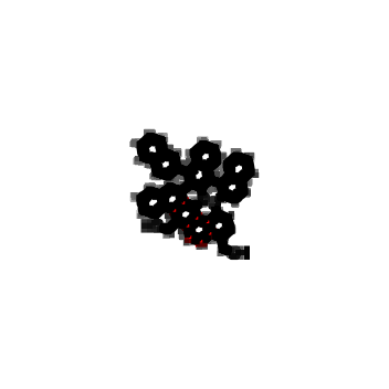 OCc1ccc(Oc2ccc3ccccc3c2-c2c(Oc3ccc(CO)c4ccccc34)c(-c3ccc4ccccc4c3)c(-c3ccc4ccccc4c3)c3ccccc23)c2ccccc12